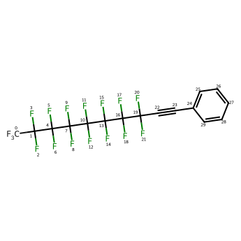 FC(F)(F)C(F)(F)C(F)(F)C(F)(F)C(F)(F)C(F)(F)C(F)(F)C(F)(F)C#Cc1ccccc1